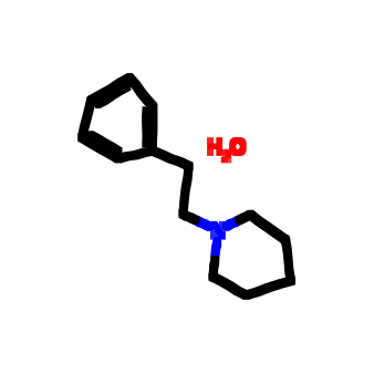 O.c1ccc(CCN2CCCCC2)cc1